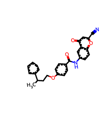 CC(CCOc1ccc(C(=O)Nc2ccc3oc(C#N)cc(=O)c3c2)cc1)c1ccccc1